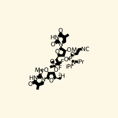 [2H]C[C@H]1O[C@@H](n2cc(C)c(=O)[nH]c2=O)[C@H](OC)[C@@H]1OP(C)(=O)C(F)(F)C[C@H]1O[C@@H](n2cc(C)c(=O)[nH]c2=O)[C@H](OC)[C@@H]1OP(OCC[N+]#[C-])N(C(C)C)C(C)C